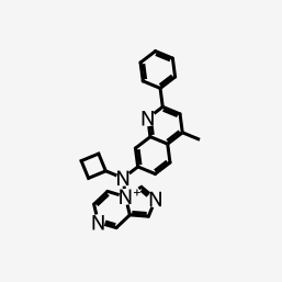 Cc1cc(-c2ccccc2)nc2cc(N(C3CCC3)[N+]34C=CN=CC3=CN=C4)ccc12